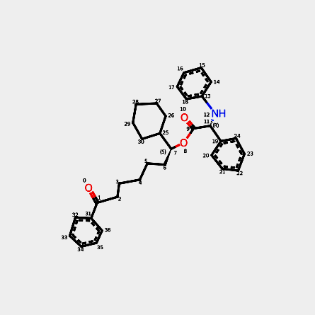 O=C(CCCCC[C@H](OC(=O)[C@H](Nc1ccccc1)c1ccccc1)C1CCCCC1)c1ccccc1